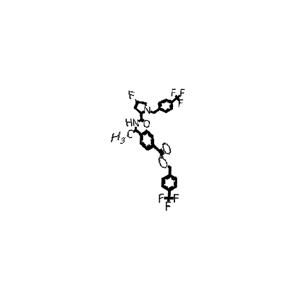 CC(NC(=O)C1C[C@H](F)CN1Cc1ccc(C(F)(F)F)cc1)c1ccc(C(=O)OCc2ccc(C(F)(F)F)cc2)cc1